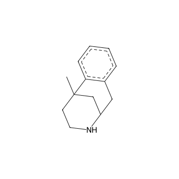 CC12CCNC(Cc3ccccc31)C2